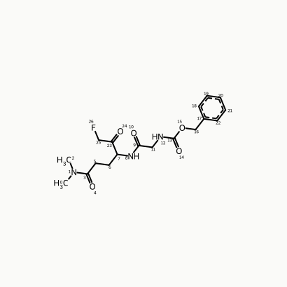 CN(C)C(=O)CCC(NC(=O)CNC(=O)OCc1ccccc1)C(=O)CF